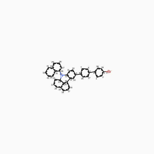 Brc1ccc(-c2ccc(-c3ccc4c(c3)-c3cccc5cccc(c35)N4c3cccc4ccccc34)cc2)cc1